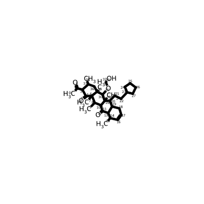 CC(=O)C1C(=O)C2(C)C(C)C3C(=O)C4C(C)C=CCC4C(CCC4CCCC4)C3(C)C(OCO)C2(C)CC1C